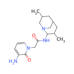 CC1CC2CC(C)C(NC(=O)Cn3cccc(N)c3=O)N(C1)C2